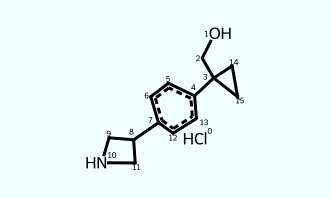 Cl.OCC1(c2ccc(C3CNC3)cc2)CC1